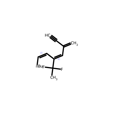 C#CC(=C)/C=C(\C=C/CCCC)C(C)(F)F